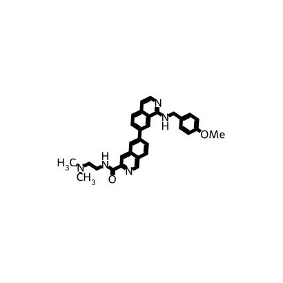 COc1ccc(CNc2nccc3ccc(-c4ccc5cnc(C(=O)NCCN(C)C)cc5c4)cc23)cc1